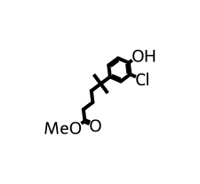 COC(=O)CCCC(C)(C)c1ccc(O)c(Cl)c1